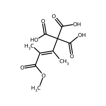 COC(=O)C(C)=C(C)C(C(=O)O)(C(=O)O)C(=O)O